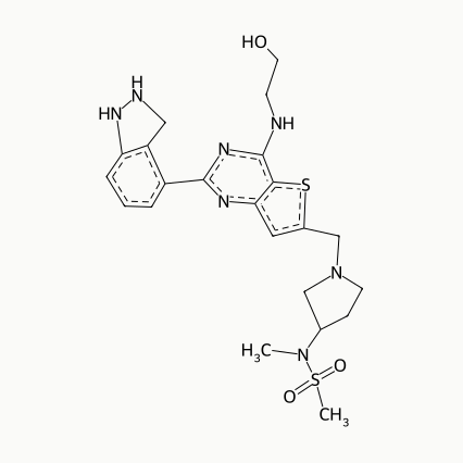 CN(C1CCN(Cc2cc3nc(-c4cccc5c4CNN5)nc(NCCO)c3s2)C1)S(C)(=O)=O